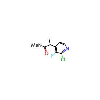 CNC(=O)C(C)c1ccnc(Cl)c1F